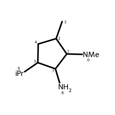 CNC1C(C)CC(C(C)C)C1N